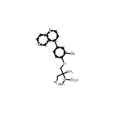 CC(C)CC(C)(COc1ccc(-c2ccnc3ccncc23)cc1C#N)N(C(=O)O)C(C)(C)C